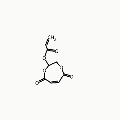 C=CC(=O)OC1COC(=O)/C=C\C(=O)O1